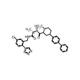 C[C@H](NC(=O)C1CC(c2ccc(-c3ccccc3)cc2)CCN1C(=O)O)C(=O)NCc1cc(Cl)ccc1-n1cnnn1